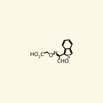 O=[C]C(=NOCC(=O)O)c1scc2ccccc12